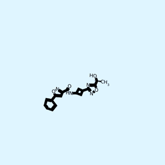 C[C@H](O)c1nc(C2CC(NC(=O)c3cc(-c4ccccc4)on3)C2)no1